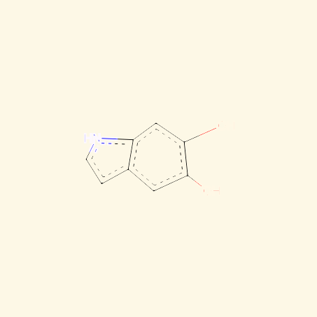 Oc1cc2c[c][nH]c2cc1O